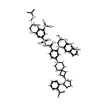 CC(C)OC[C@H]1COc2cc(S(=O)(=O)NC(=O)c3ccc(N4CCC5(CC4)CC(N4CCC[C@H]4c4ccccc4C(C)C)C5)cc3N3C[C@@H](C)Oc4nc5[nH]ccc5cc43)cc([N+](=O)[O-])c2N1